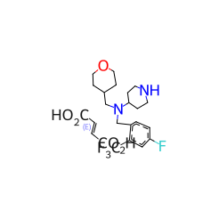 Fc1ccc(CN(CC2CCOCC2)C2CCNCC2)c(C(F)(F)F)c1.O=C(O)/C=C/C(=O)O